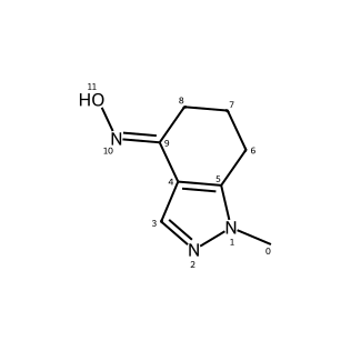 Cn1ncc2c1CCCC2=NO